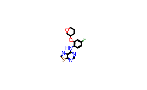 Fc1ccc(Nc2ncnc3scnc23)c(OC2CCCOC2)c1